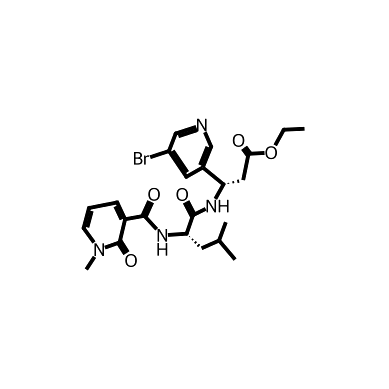 CCOC(=O)C[C@H](NC(=O)[C@H](CC(C)C)NC(=O)c1cccn(C)c1=O)c1cncc(Br)c1